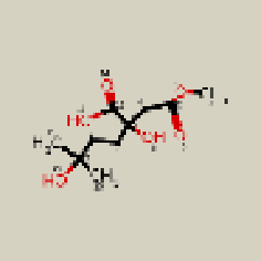 COC(=O)CC(O)(CCC(C)(C)O)C(=O)O